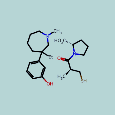 CCC1(c2cccc(O)c2)CCCCN(C)C1.C[C@H](CS)C(=O)N1CCC[C@H]1C(=O)O